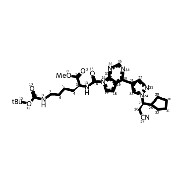 COC(=O)[C@H](CCCCNC(=O)OC(C)(C)C)NC(=O)n1ccc2c(-c3cnn([C@H](CC#N)C4CCCC4)c3)ncnc21